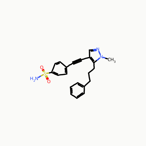 Cn1ncc(C#Cc2ccc(S(N)(=O)=O)cc2)c1CCCc1ccccc1